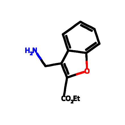 CCOC(=O)c1oc2ccccc2c1CN